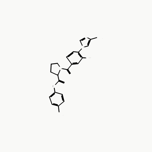 COc1cc(C(=O)N2CCCC2C(=O)Nc2ccc(C)cc2)ccc1-n1cnc(C)c1